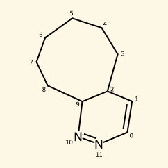 C1=CC2CCCCCCC2N=N1